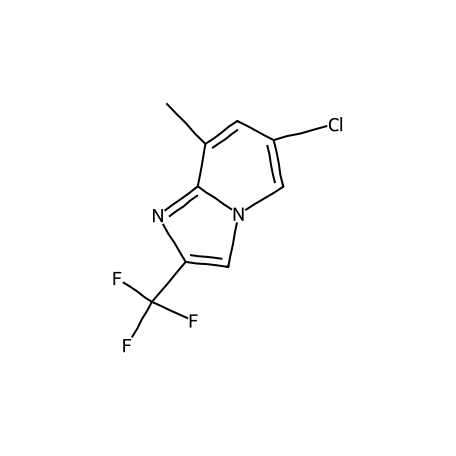 Cc1cc(Cl)cn2cc(C(F)(F)F)nc12